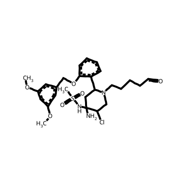 COc1cc(COc2ccccc2C2CC(N)(NS(C)(=O)=O)C(Cl)CN2CCCCC=O)cc(OC)c1